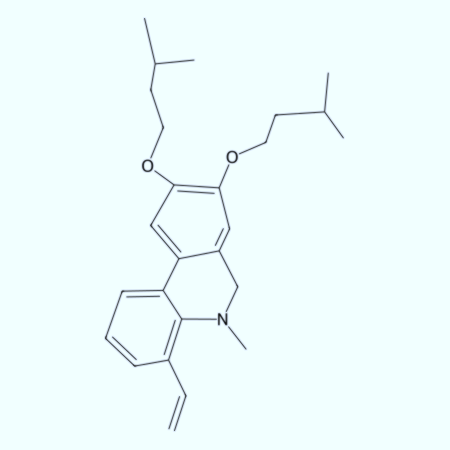 C=Cc1cccc2c1N(C)Cc1cc(OCCC(C)C)c(OCCC(C)C)cc1-2